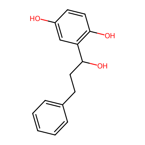 Oc1ccc(O)c(C(O)CCc2ccccc2)c1